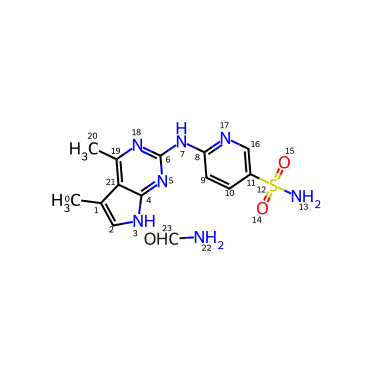 Cc1c[nH]c2nc(Nc3ccc(S(N)(=O)=O)cn3)nc(C)c12.NC=O